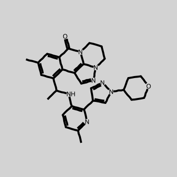 Cc1cc(C(C)Nc2ccc(C)nc2-c2cnn(C3CCOCC3)c2)c2c(c1)c(=O)n1c3c2cnn3CCC1